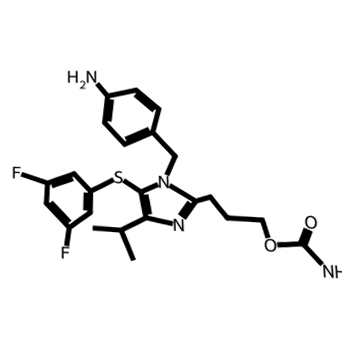 CC(C)c1nc(CCCOC(N)=O)n(Cc2ccc(N)cc2)c1Sc1cc(F)cc(F)c1